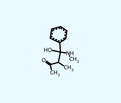 CNC(O)(c1ccccc1)C(C)C(C)=O